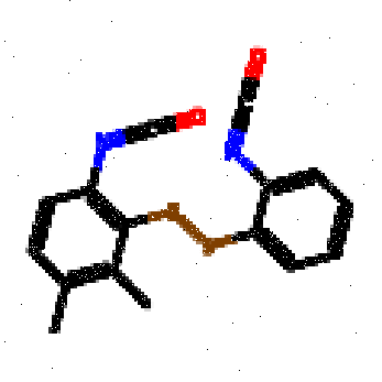 Cc1ccc(N=C=O)c(SSc2ccccc2N=C=O)c1C